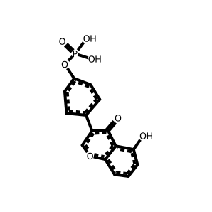 O=c1c(-c2ccc(OP(=O)(O)O)cc2)coc2cccc(O)c12